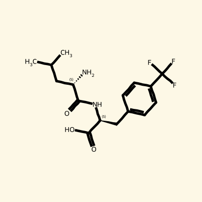 CC(C)C[C@H](N)C(=O)N[C@@H](Cc1ccc(C(F)(F)F)cc1)C(=O)O